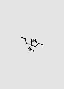 CCC[Si](N)(N)CCC